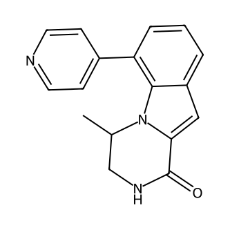 CC1CNC(=O)c2cc3cccc(-c4ccncc4)c3n21